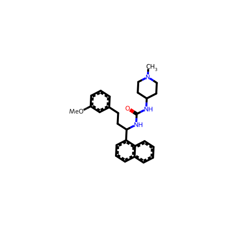 COc1cccc(CCC(NC(=O)NC2CCN(C)CC2)c2cccc3ccccc23)c1